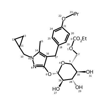 CCOC(=O)OC[C@H]1O[C@@H](Oc2nn(CC3CC3)c(C)c2Cc2ccc(OC(C)C)cc2)[C@H](O)[C@@H](O)[C@@H]1O